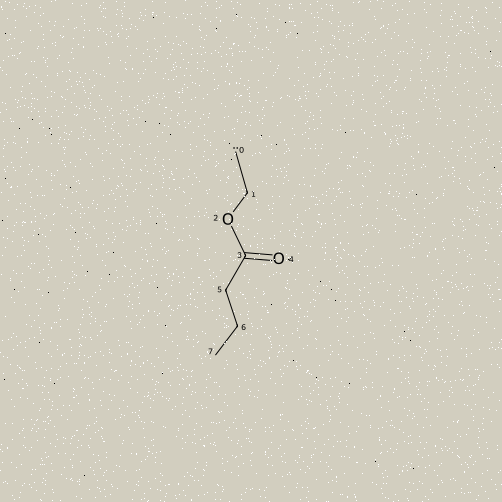 [CH]COC(=O)CCC